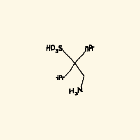 CCCC(CN)([C](C)C)S(=O)(=O)O